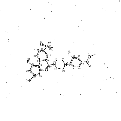 COC(C)c1ccc(N2CCN(C(=O)c3cc(S(C)(=O)=O)ccc3-c3ccc(F)cc3F)CC2)c(F)c1